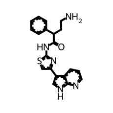 NCCC(C(=O)Nc1nc(-c2c[nH]c3ncccc23)cs1)c1ccccc1